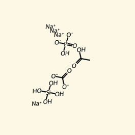 CC(=O)O.O=C([O-])[O-].O=P([O-])([O-])O.O[Si](O)(O)O.[Na+].[Na+].[Na+].[Na+]